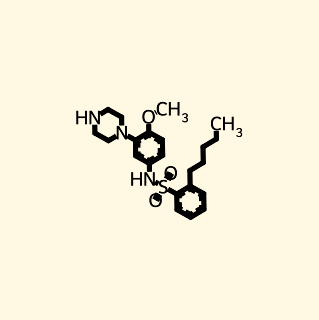 CCCCCc1ccccc1S(=O)(=O)Nc1ccc(OC)c(N2CCNCC2)c1